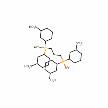 CCC[PH](CCC[PH](CCC)(C1CCCC(S(=O)(=O)O)C1)C1CCCC(S(=O)(=O)O)C1)(C1CCCC(S(=O)(=O)O)C1)C1CCCC(S(=O)(=O)O)C1